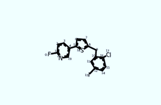 Fc1ccc(-c2ccc(Cc3cc(I)ccc3Cl)s2)cn1